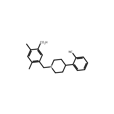 Cc1cc(C)c(C(=O)O)cc1CN1CCC(c2ccccc2C#N)CC1